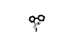 CC[O][Sn](=[O])[c]1ccccc1-c1ccccc1